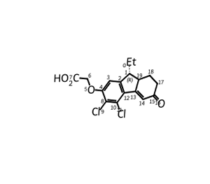 CC[C@H]1c2cc(OCC(=O)O)c(Cl)c(Cl)c2C2=CC(=O)CCC21